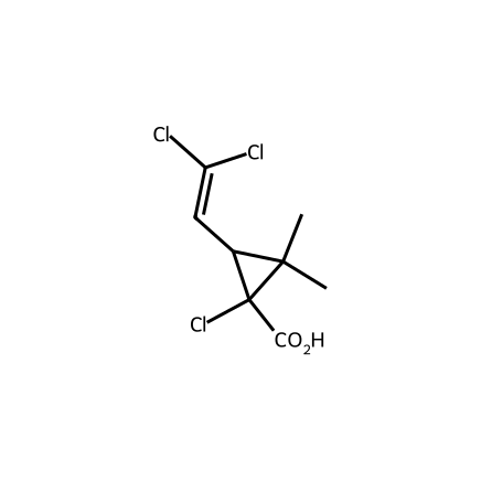 CC1(C)C(C=C(Cl)Cl)C1(Cl)C(=O)O